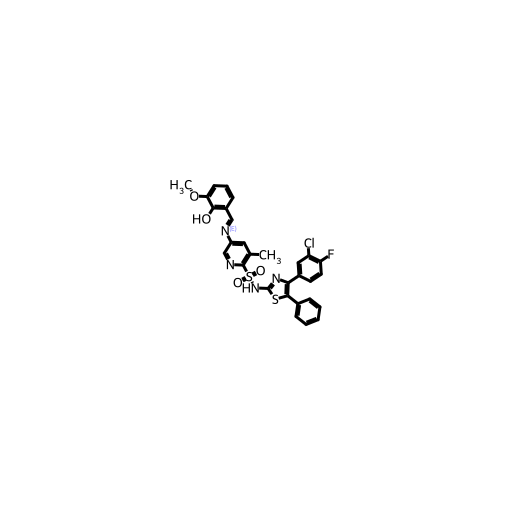 COc1cccc(/C=N/c2cnc(S(=O)(=O)Nc3nc(-c4ccc(F)c(Cl)c4)c(-c4ccccc4)s3)c(C)c2)c1O